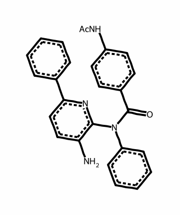 CC(=O)Nc1ccc(C(=O)N(c2ccccc2)c2nc(-c3ccccc3)ccc2N)cc1